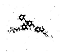 COC(=O)C[C@@H]1COc2cc(OCc3ccc(COc4ccccc4)c(-c4c(C)cc(OCCCS(C)(=O)=O)cc4C)c3)ccc21